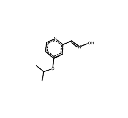 CC(C)Oc1ccnc(C=NO)c1